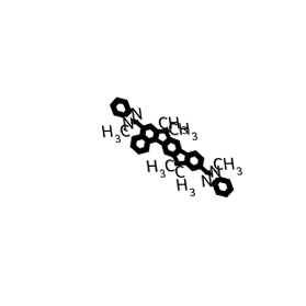 Cn1c(-c2ccc3c(c2)C(C)(C)c2cc4c(cc2-3)C(C)(C)c2cc(-c3nc5ccccc5n3C)c3ccccc3c2-4)nc2ccccc21